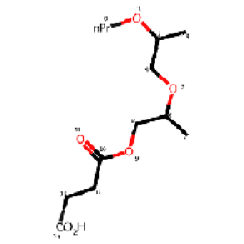 CCCOC(C)COC(C)COC(=O)CCC(=O)O